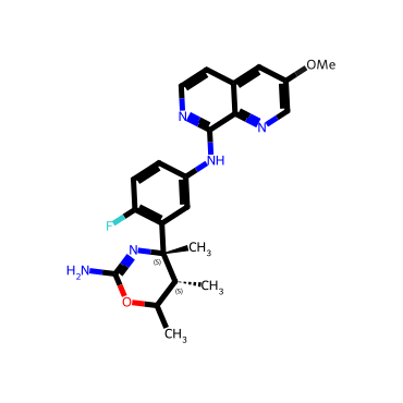 COc1cnc2c(Nc3ccc(F)c([C@@]4(C)N=C(N)OC(C)[C@H]4C)c3)nccc2c1